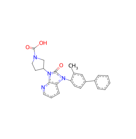 Cc1cc(-c2ccccc2)ccc1-n1c(=O)n(C2CCN(C(=O)O)C2)c2ncccc21